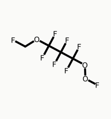 FCOC(F)(F)C(F)(F)C(F)(F)OOF